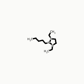 CCCC[CH2][Al]1[N](CC)CC[N]1CC